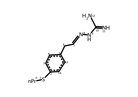 CCCSc1ccc(CC=NNC(=N)N)cc1